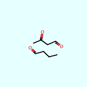 CC(=O)CC=O.CCCC=O